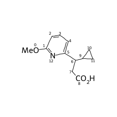 COc1cccc(C(CC(=O)O)C2CC2)n1